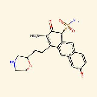 NS(=O)(=O)C1=c2cc3c(cc2C(CCC2CNCCO2)=C(S(=O)(=O)O)C1=O)=CC(=O)C=C3